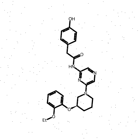 CCOc1ccccc1O[C@@H]1CCCN(c2cncc(NC(=O)Cc3ccc(O)cc3)n2)C1